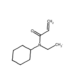 [CH2]CN(C(=O)C=C)C1CCCCC1